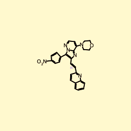 O=[N+]([O-])c1ccc(-c2c(/C=C/c3ccc4ccccc4n3)nc3c(N4CCOCC4)ccnn23)cc1